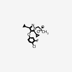 CS(=O)(=O)Cn1nc(C2CC2)c(Oc2ccc(Cl)c(F)c2)c1C1CC1